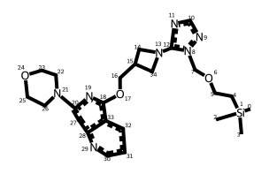 C[Si](C)(C)CCOCn1ncnc1N1CC(COc2nc(N3CCOCC3)cc3ncccc23)C1